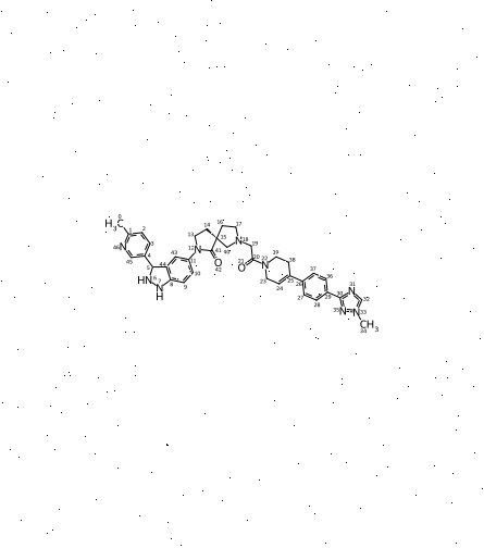 Cc1ccc(C2NNc3ccc(N4CC[C@]5(CCN(CC(=O)N6CC=C(c7ccc(-c8ncn(C)n8)cc7)CC6)C5)C4=O)cc32)cn1